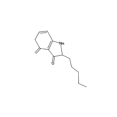 C=C1CC=CC2=C1C(=O)C(CCCCC)N2